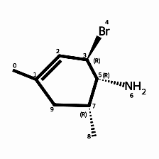 CC1=C[C@@H](Br)[C@H](N)[C@H](C)C1